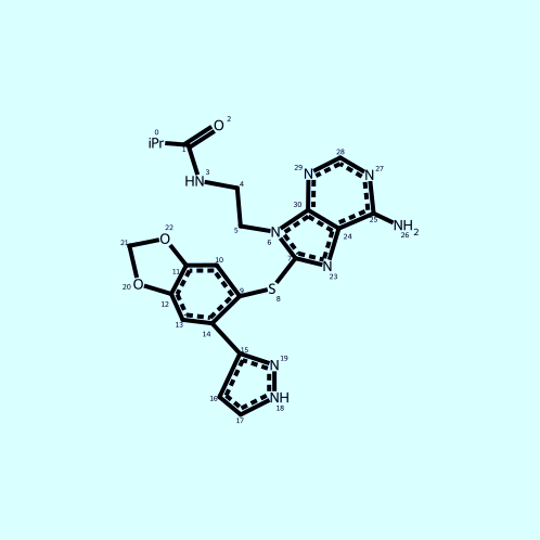 CC(C)C(=O)NCCn1c(Sc2cc3c(cc2-c2cc[nH]n2)OCO3)nc2c(N)ncnc21